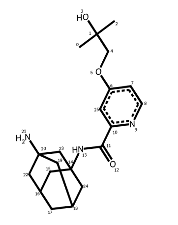 CC(C)(O)COc1ccnc(C(=O)NC23CC4CC(CC(N)(C4)C2)C3)c1